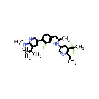 C=C(Cc1ccc(-c2cnc(N(C)C)c(C(=C)C)c2)c(F)c1)Nc1cnc(CC)c(C(C)(F)F)c1